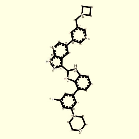 Fc1cc(-c2cccc3c2NC(c2n[nH]c4ncc(-c5cncc(CN6CCC6)c5)cc24)N3)cc(N2CCOCC2)c1